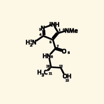 CNc1[nH]nc(N)c1C(=O)N[C@H](C)CO